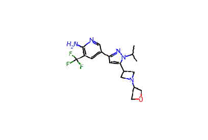 CC(C)n1nc(-c2cnc(N)c(C(F)(F)F)c2)cc1C1CN(C2COC2)C1